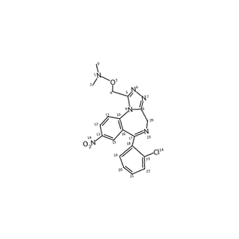 CN(C)OCc1nnc2n1-c1ccc([N+](=O)[O-])cc1C(c1ccccc1Cl)=NC2